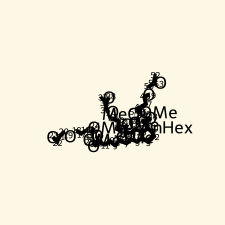 CCCCCCC1C=CC(CCCCCCCC(=O)O[Si](CCCOCC2CO2)(OC)OC)C(C(=O)O[Si](CCCOCC2CO2)(OC)OC)C1C(=O)O[Si](CCCOCC1CO1)(OC)OC